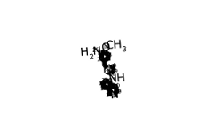 COc1ccc(CN2CCC(Nc3cccc4cnccc34)C2)cc1N